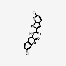 O=C(NC1Cc2ccc(Cl)cc2NC1=O)c1cc2ccc(Cl)nc2[nH]1